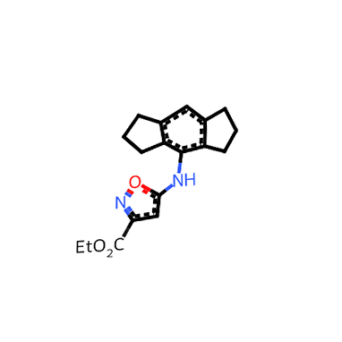 CCOC(=O)c1cc(Nc2c3c(cc4c2CCC4)CCC3)on1